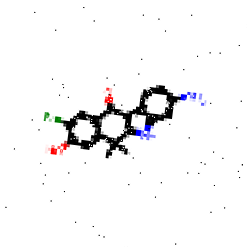 CC1(C)c2cc(O)c(Br)cc2C(=O)c2c1[nH]c1cc(N)ccc21